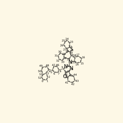 c1ccc2c(-c3ccc(-c4nc(-n5c6ccccc6c6c7sc8ccccc8c7c7ccccc7c65)nc5c4oc4ccccc45)cc3)cccc2c1